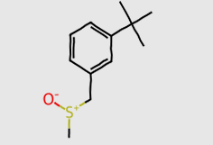 C[S+]([O-])Cc1cccc(C(C)(C)C)c1